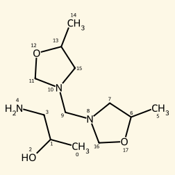 CC(O)CN.CC1CN(CN2COC(C)C2)CO1